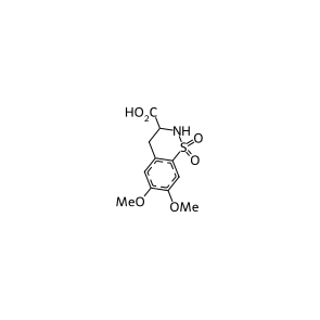 COc1cc2c(cc1OC)S(=O)(=O)NC(C(=O)O)C2